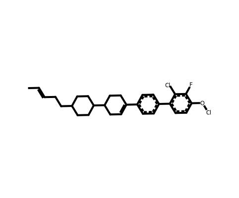 C/C=C/CCC1CCC(C2CC=C(c3ccc(-c4ccc(OCl)c(F)c4Cl)cc3)CC2)CC1